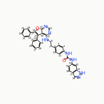 O=C(Nc1ccc(CCNc2ncnc3oc(-c4ccccc4)c(-c4ccccc4)c23)cc1)Nc1ccc2cn[nH]c2c1